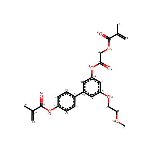 C=C(C)C(=O)OCC(=O)Oc1cc(OCCOC)cc(-c2ccc(OC(=O)C(=C)C)cc2)c1